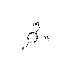 O=C(O)c1cc(Br)ccc1CO